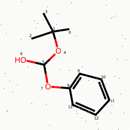 CC(C)(C)OC(O)Oc1ccccc1